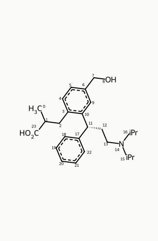 CC(Cc1ccc(CO)cc1[C@H](CCN(C(C)C)C(C)C)c1ccccc1)C(=O)O